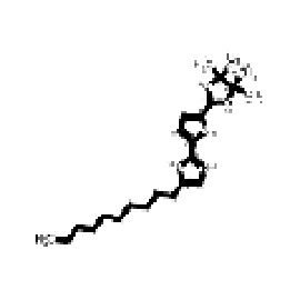 CCCCCCCCCCc1cnc(-c2ccc(C3OC(C)(C)C(C)(C)O3)s2)s1